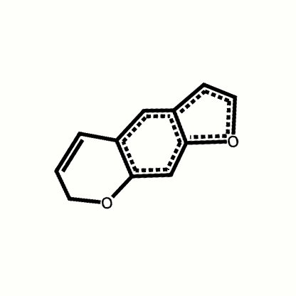 C1=Cc2cc3ccoc3cc2OC1